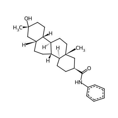 C[C@@]1(O)CC[C@H]2[C@H](CC[C@@H]3[C@@H]2CC[C@]2(C)C[C@@H](C(=O)Nc4ccccc4)CC[C@@H]32)C1